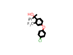 CC(C)C(C)(O)c1ccc(Oc2ccc(Cl)cc2)cc1C(F)(F)F